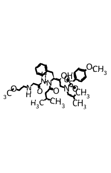 COCCNCC(=O)NN(C(=O)CC(C)C)[C@@H](Cc1ccccc1)[C@H](O)CN(CC(C)C)S(=O)(=O)c1ccc(OC)cc1